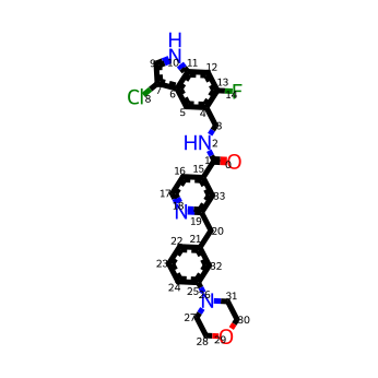 O=C(NCc1cc2c(Cl)c[nH]c2cc1F)c1ccnc(Cc2cccc(N3CCOCC3)c2)c1